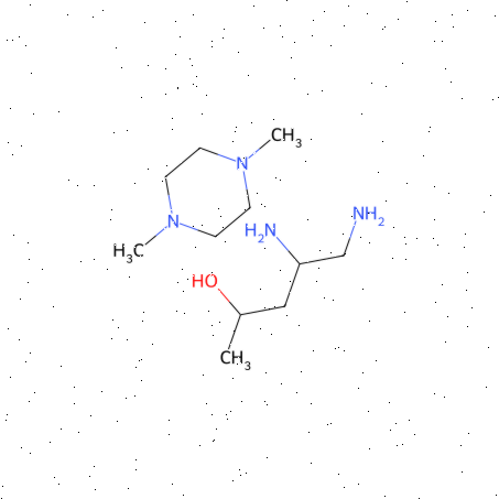 CC(O)CC(N)CN.CN1CCN(C)CC1